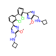 COc1nc(-c2cccc(-c3cccc(-c4cnc(CNC5CCC5)c(OC)n4)c3Cl)c2Cl)cnc1CNC1CCC1